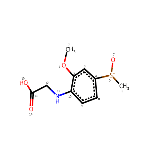 COc1cc([S+](C)[O-])ccc1NCC(=O)O